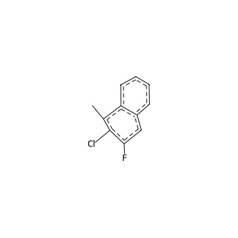 Cc1c(Cl)c(F)cc2ccccc12